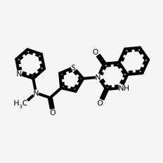 CN(C(=O)c1csc(-n2c(=O)[nH]c3ccccc3c2=O)c1)c1ccccn1